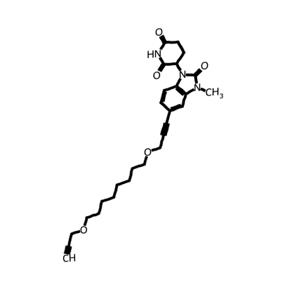 C#CCOCCCCCCCCOCC#Cc1ccc2c(c1)n(C)c(=O)n2C1CCC(=O)NC1=O